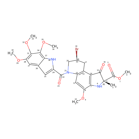 COC(=O)[C@]1(C)Nc2c(OC)cc3c(c2C1=O)C[C@H](Br)CN3C(=O)c1cc2cc(OC)c(OC)c(OC)c2[nH]1